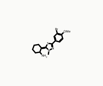 COc1ccc(C2=NN(C)C(=C3CCCCC3N)S2)cc1Br